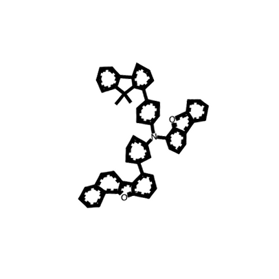 CC1(C)c2ccccc2-c2cccc(-c3ccc(N(c4cccc(-c5cccc6oc7c8ccccc8ccc7c56)c4)c4cccc5c4oc4ccccc45)cc3)c21